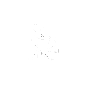 CCC(CCC1c2[nH]c3ccccc3c2CCN1C(=O)C1CCCC1)(c1cccc(F)c1)N(C)C